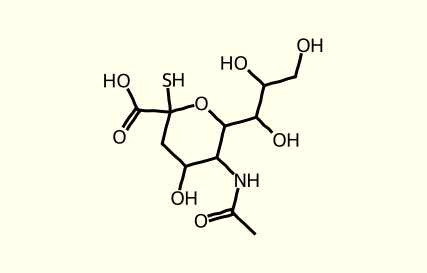 CC(=O)NC1C(O)CC(S)(C(=O)O)OC1C(O)C(O)CO